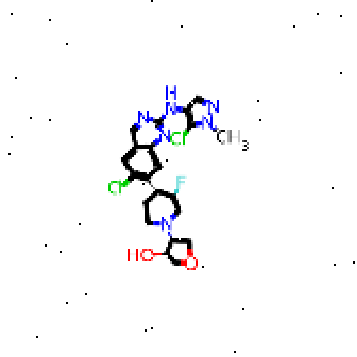 Cn1ncc(Nc2ncc3cc(Cl)c([C@H]4CCN([C@H]5COC[C@H]5O)C[C@@H]4F)cc3n2)c1Cl